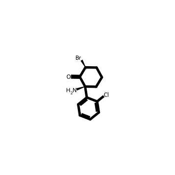 N[C@]1(c2ccccc2Cl)CCC[C@H](Br)C1=O